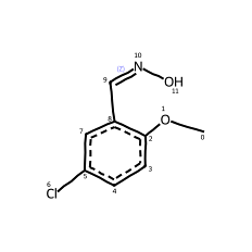 COc1ccc(Cl)cc1/C=N\O